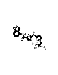 CC(C)(O)Cn1ccc(Nc2ncc(C(=O)Nc3cccc4[nH]ncc34)s2)n1